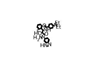 CCN(CC)c1ccc(C(=O)NC(c2ccccc2F)C(O)C(=O)N(N)c2ccc3nc[nH]c3c2)cc1